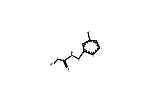 Cc1cccc(CNC(=O)CC(C)C)c1